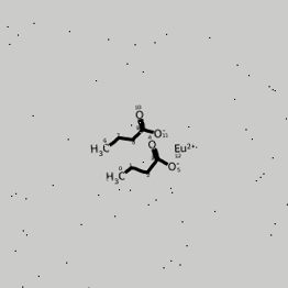 CCCC(=O)[O-].CCCC(=O)[O-].[Eu+2]